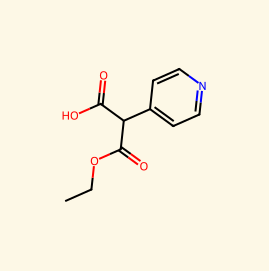 CCOC(=O)C(C(=O)O)c1ccncc1